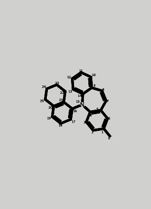 Cc1ccc2c(c1)C=Cc1ccccc1N2c1cccc2c1CCCC2